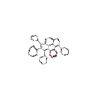 c1ccc(-c2ccc3ccc4c(-c5ccccc5)c(-c5ccccc5)c(-c5ccccc5)c(-c5ccccc5)c4c3c2-c2ccccc2)cc1